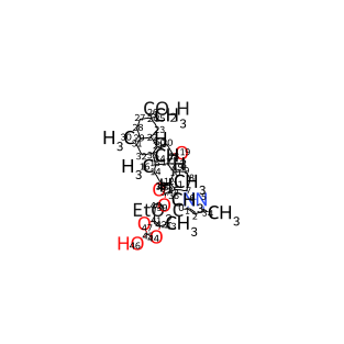 CCOC(=O)c1cc(C)nn1[C@H]1CC[C@@]2(C)[C@@H](CC[C@]3(C)[C@@H]2C(=O)C=C2[C@@H]4C[C@@](C)(C(=O)O)CC[C@]4(C)CC[C@]23C)[C@]1(C)C(=O)OCC1=C(C)OC(O)O1